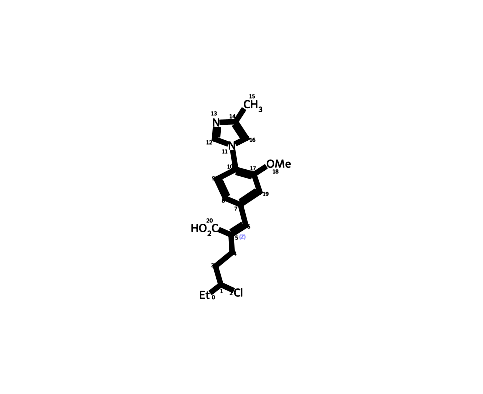 CCC(Cl)CC/C(=C/c1ccc(-n2cnc(C)c2)c(OC)c1)C(=O)O